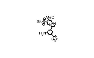 COc1cc2ncc(-c3cc(N)cc(-c4ncno4)c3)n2cc1S(=O)(=O)C(C)(C)C